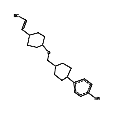 CCCc1ccc(C2CCC(COC3CCC(C=CC#N)CC3)CC2)cc1